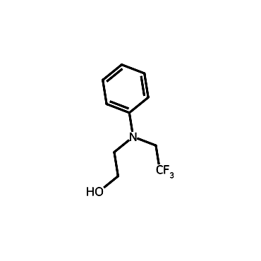 OCCN(CC(F)(F)F)c1ccccc1